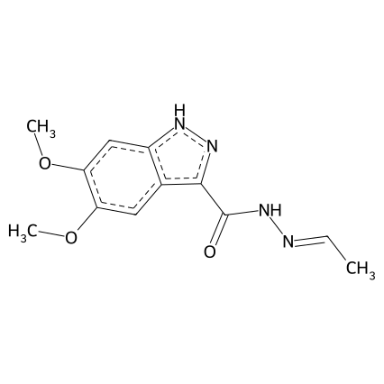 CC=NNC(=O)c1n[nH]c2cc(OC)c(OC)cc12